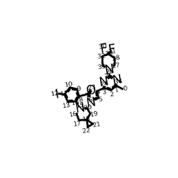 Cc1cc(-c2cnc(-c3ccc(I)cc3N3CCC4(CC3)CC4)o2)nc(N2CCC(F)(F)CC2)n1